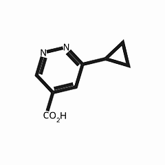 O=C(O)c1cnnc(C2CC2)c1